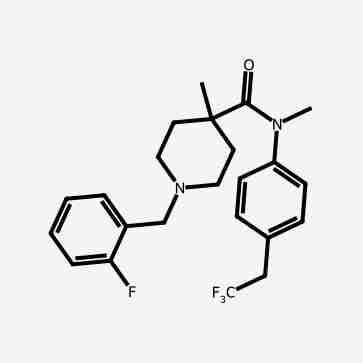 CN(C(=O)C1(C)CCN(Cc2ccccc2F)CC1)c1ccc(CC(F)(F)F)cc1